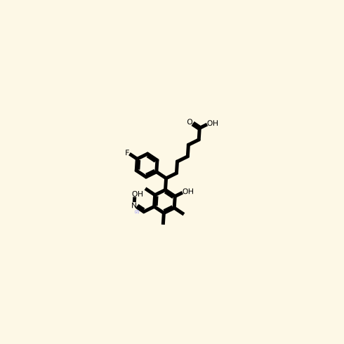 Cc1c(C)c(/C=N\O)c(C)c(C(CCCCCC(=O)O)c2ccc(F)cc2)c1O